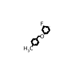 Cc1ccc(COc2cc[c]c(F)c2)cc1